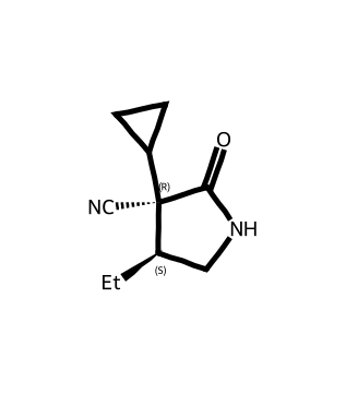 CC[C@@H]1CNC(=O)[C@]1(C#N)C1CC1